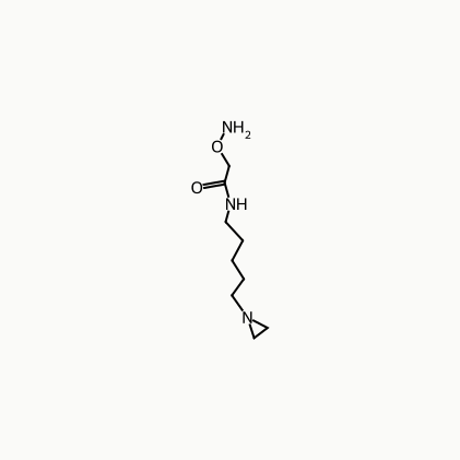 NOCC(=O)NCCCCCN1CC1